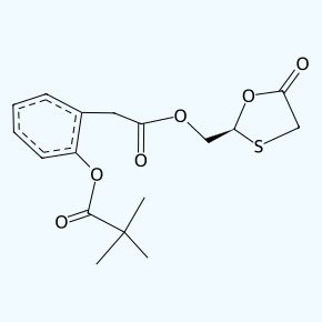 CC(C)(C)C(=O)Oc1ccccc1CC(=O)OC[C@H]1OC(=O)CS1